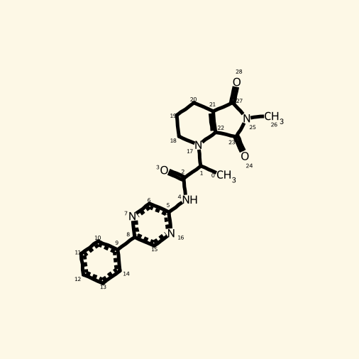 CC(C(=O)Nc1cnc(-c2ccccc2)cn1)N1CCCC2=C1C(=O)N(C)C2=O